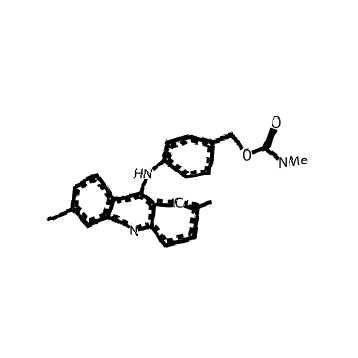 CNC(=O)OCc1ccc(Nc2c3ccc(C)cc3nc3ccc(C)cc23)cc1